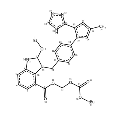 CCOC1Nc2cccc(C(=O)OCOC(=O)OC(C)(C)C)c2N1Cc1ccc(-n2cc(C)cc2-c2nnn[nH]2)cc1